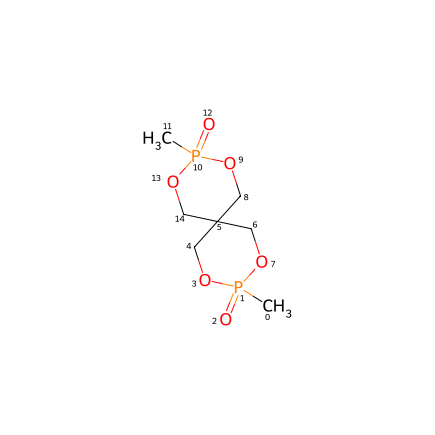 CP1(=O)OCC2(CO1)COP(C)(=O)OC2